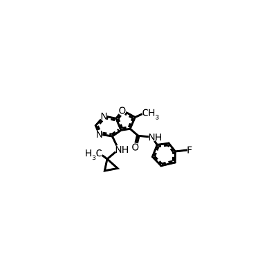 Cc1oc2ncnc(NC3(C)CC3)c2c1C(=O)Nc1cccc(F)c1